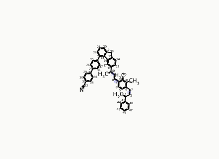 C=C(/C=C\c1cc/c(=C/C=C(\C)c2ccc3c(c2)-c2c(cccc2-c2ccc(-c4ccc(C#N)cc4)cc2)C3)c(=C)c1C)c1ccccc1